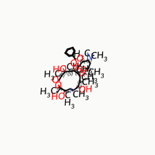 CC[C@H]1OC(=O)[C@H](C)[C@@H](O)[C@H](C)[C@@H](OC2O[C@H](C)C[C@H](N(C)C)[C@H]2OC(=O)c2ccccc2)[C@](C)(OC)C[C@@H](C)[C@H](O)/C(C)=C/[C@]1(C)O